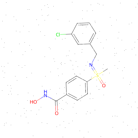 CS(=O)(=NCc1cccc(Cl)c1)c1ccc(C(=O)NO)cc1